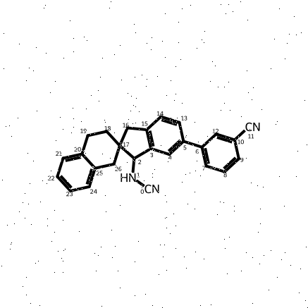 N#CNC1c2cc(-c3cccc(C#N)c3)ccc2CC12CCc1ccccc1C2